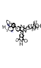 C/C=C\c1cccc(N2CCc3c(nc(OCC(CC)(CCC)N(C)CC)nc3N3CC4C(=O)NC(=O)C4C3)C2)c1/C=C\C